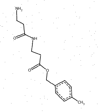 Cc1ccc(COC(=O)CCNC(=O)CCN)cc1